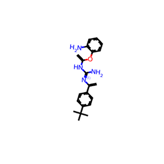 C=C(N/C(N)=N/C(=C)c1ccc(C(C)(C)C)cc1)Oc1ccccc1N